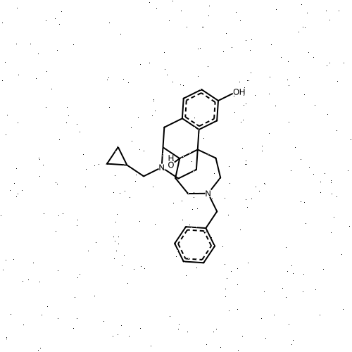 Oc1ccc2c(c1)C13CCN(Cc4ccccc4)CCC1(O)C(C2)N(CC1CC1)CC3